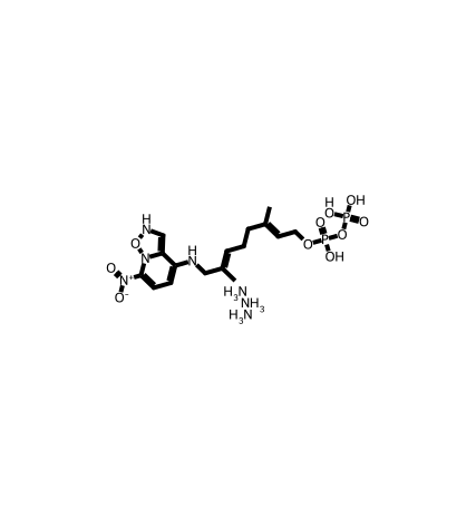 CC(=CCOP(=O)(O)OP(=O)(O)O)CCC=C(C)CNC1=CC=C([N+](=O)[O-])N2ONC=C12.N.N.N